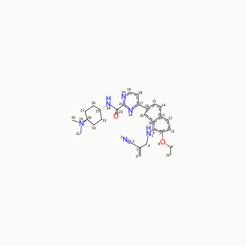 C=C(C#N)CNc1c(OCC)ccc2ccc(-c3ccnc(C(=O)N[C@H]4CC[C@H](N(C)C)CC4)n3)cc12